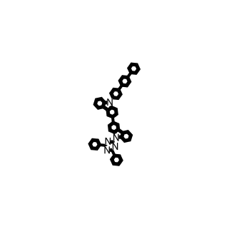 c1ccc(-c2ccc(-c3ccc(-n4c5ccccc5c5cc(-c6ccc7c(c6)c6ccccc6n7-c6nc(-c7ccccc7)nc(-c7ccccc7)n6)ccc54)cc3)cc2)cc1